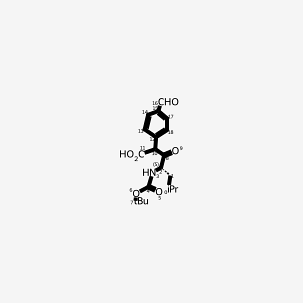 CC(C)C[C@H](NC(=O)OC(C)(C)C)C(=O)C(C(=O)O)c1ccc(C=O)cc1